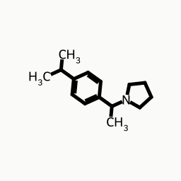 CC(C)c1ccc(C(C)N2CCCC2)cc1